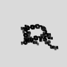 Cc1ncsc1-c1ccc(CNC(=O)[C@@H]2C[C@@H](OC(=O)CCC(=O)O)CN2C(=O)C(NC(=O)CN2CCN(CC3CCN(c4ccc(-c5cnc6[nH]cc(C(=O)c7c(F)ccc(NS(=O)(=O)N8CC[C@@H](F)C8)c7F)c6c5)cc4)CC3)CC2)C(C)(C)C)cc1